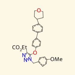 CCOC(=O)c1nnn(Cc2ccc(OC)cc2)c1Oc1ccc(-c2ccc(C3CCOCC3)cc2)cc1